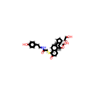 C[C@]12CCC(=O)C(SCC(=O)NCCc3ccc(O)cc3)=C1CC[C@@H]1[C@@H]2[C@@H]2C[C@]3(C(O)O2)[C@@H](C(=O)CO)CC[C@@H]13